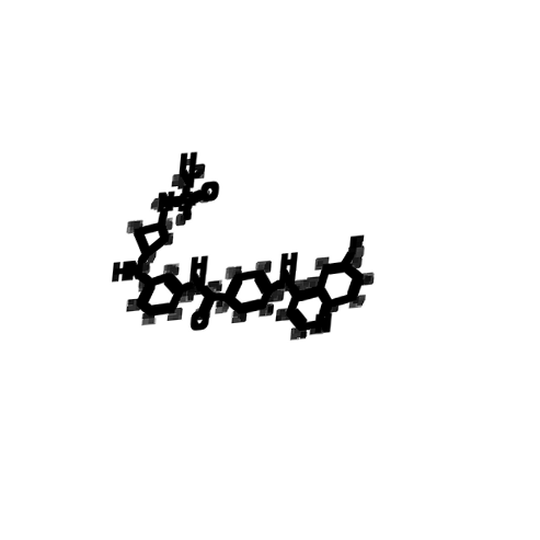 CS(N)(=O)=NC1CC(Nc2cccc(NC(=O)c3ccc(Nc4ccnc5ccc(F)cc45)cc3)c2)C1